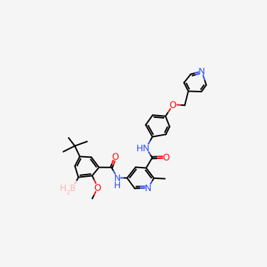 Bc1cc(C(C)(C)C)cc(C(=O)Nc2cnc(C)c(C(=O)Nc3ccc(OCc4ccncc4)cc3)c2)c1OC